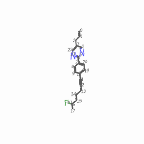 C=CCc1cnc(-c2ccc(C#CCCCC(C)F)cc2)nc1